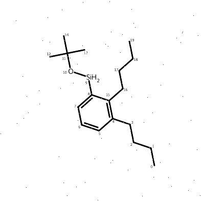 CCCCc1cccc([SiH2]OC(C)(C)C)c1CCCC